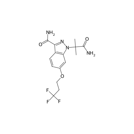 CC(C)(C(N)=O)n1nc(C(N)=O)c2ccc(OCCC(F)(F)F)cc21